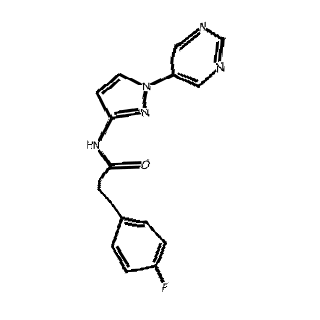 O=C(Cc1ccc(F)cc1)Nc1ccn(-c2cncnc2)n1